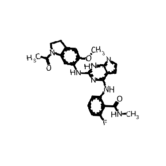 CNC(=O)c1c(F)cccc1Nc1nc(Nc2cc3c(cc2OC)CCN3C(C)=O)[nH]c2nccc1-2